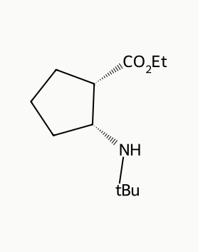 CCOC(=O)[C@H]1CCC[C@H]1NC(C)(C)C